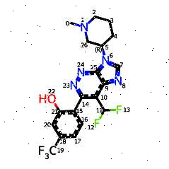 CN1CCC[C@@H](n2cnc3c(C(F)F)c(-c4ccc(C(F)(F)F)cc4O)nnc32)C1